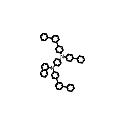 c1ccc(-c2ccc(N(c3ccc(-c4cccc(-c5ccccc5)c4)cc3)c3ccc(N(c4ccc(-c5cccc(-c6ccccc6)c5)cc4)c4cccc5ccccc45)cc3)cc2)cc1